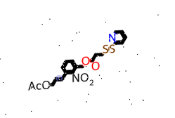 CC(=O)OC/C=C/c1cccc(COC(=O)CCSSc2ccccn2)c1[N+](=O)[O-]